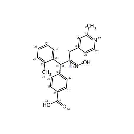 Cc1cc(C/C(=N\O)[C@H](c2ccc(C(=O)O)cc2)c2ccccc2C)ccn1